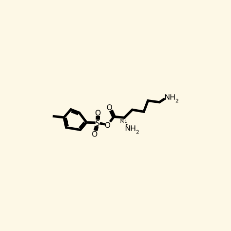 Cc1ccc(S(=O)(=O)OC(=O)[C@@H](N)CCCCN)cc1